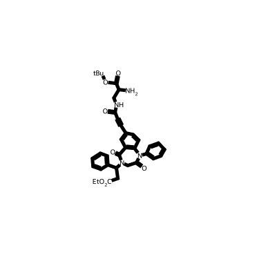 CCOC(=O)CC(c1ccccc1)N1CC(=O)N(c2ccccc2)c2ccc(C#CC(=O)NCC(N)C(=O)OC(C)(C)C)cc2C1=O